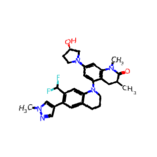 CC1Cc2c(cc(N3CC[C@@H](O)C3)cc2N2CCCc3cc(-c4cnn(C)c4)c(C(F)F)cc32)N(C)C1=O